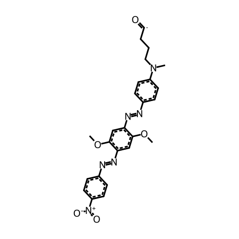 COc1cc(/N=N/c2ccc([N+](=O)[O-])cc2)c(OC)cc1/N=N/c1ccc(N(C)CCC[C]=O)cc1